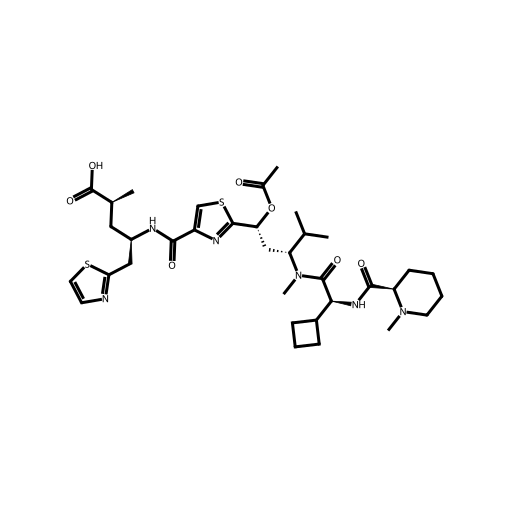 CC(=O)O[C@H](C[C@H](C(C)C)N(C)C(=O)[C@@H](NC(=O)[C@H]1CCCCN1C)C1CCC1)c1nc(C(=O)N[C@@H](Cc2nccs2)C[C@H](C)C(=O)O)cs1